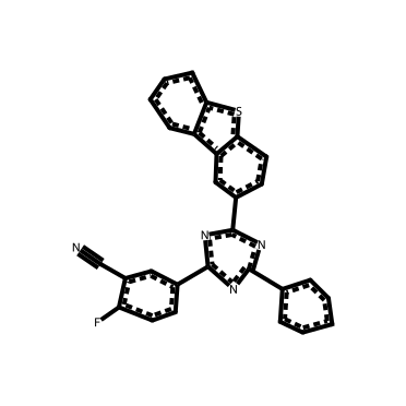 N#Cc1cc(-c2nc(-c3ccccc3)nc(-c3ccc4sc5ccccc5c4c3)n2)ccc1F